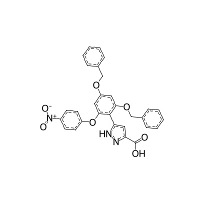 O=C(O)c1cc(-c2c(OCc3ccccc3)cc(OCc3ccccc3)cc2Oc2ccc([N+](=O)[O-])cc2)[nH]n1